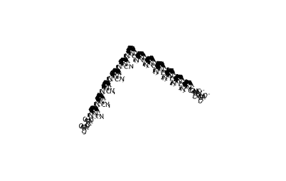 CN(C)c1cccc[n+]1C#N.CN(C)c1cccc[n+]1C#N.CN(C)c1cccc[n+]1C#N.CN(C)c1cccc[n+]1C#N.CN(C)c1cccc[n+]1C#N.CN(C)c1cccc[n+]1C#N.CN(C)c1cccc[n+]1C#N.CN(C)c1cccc[n+]1C#N.CN(C)c1cccc[n+]1C#N.CN(C)c1cccc[n+]1C#N.CN(C)c1cccc[n+]1C#N.CN(C)c1cccc[n+]1C#N.[O-]B([O-])[O-].[O-]B([O-])[O-].[O-]B([O-])[O-].[O-]B([O-])[O-]